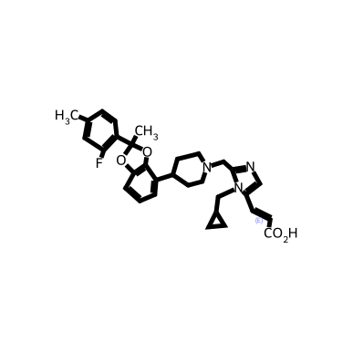 Cc1ccc(C2(C)Oc3cccc(C4CCN(Cc5ncc(/C=C/C(=O)O)n5CC5CC5)CC4)c3O2)c(F)c1